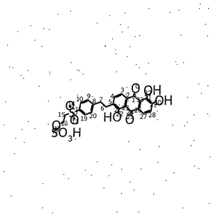 O=C1c2ccc(CCc3ccc(S(=O)(=O)CCOS(=O)(=O)O)cc3)c(O)c2C(=O)c2ccc(O)c(O)c21